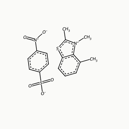 Cc1cccc2sc(C)[n+](C)c12.O=[N+]([O-])c1ccc(S(=O)(=O)[O-])cc1